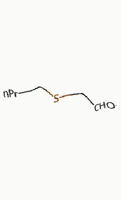 CCCCSC[C]=O